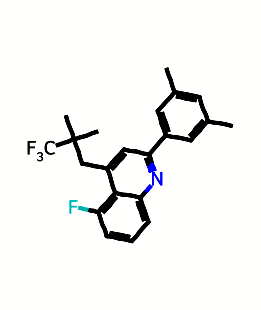 Cc1cc(C)cc(-c2cc(CC(C)(C)C(F)(F)F)c3c(F)cccc3n2)c1